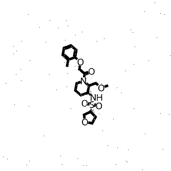 COCC1[C@@H](NS(=O)(=O)[C@@H]2CCOC2)CCCN1C(=O)COc1ccccc1C